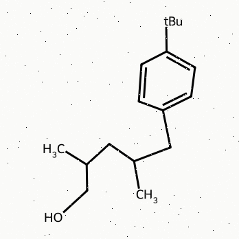 CC(CO)CC(C)Cc1ccc(C(C)(C)C)cc1